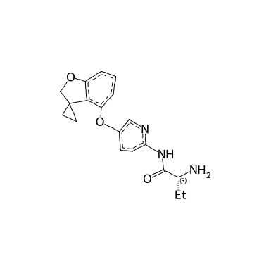 CC[C@@H](N)C(=O)Nc1ccc(Oc2cccc3c2C2(CC2)CO3)cn1